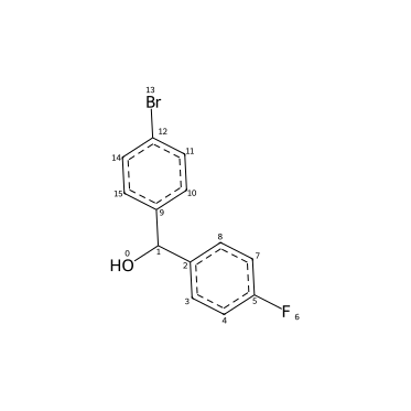 OC(c1ccc(F)cc1)c1ccc(Br)cc1